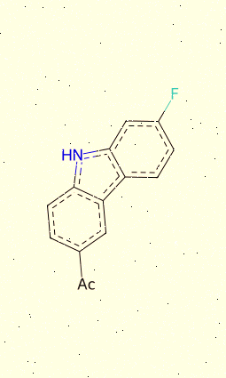 CC(=O)c1ccc2[nH]c3cc(F)ccc3c2c1